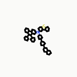 c1ccc(-c2c(-c3ccccc3)c3cc(N(c4ccc(-c5ccc(-c6ccc7ccccc7c6)cc5)cc4)c4ccc5sc6ccccc6c5c4)ccc3c3ccccc23)cc1